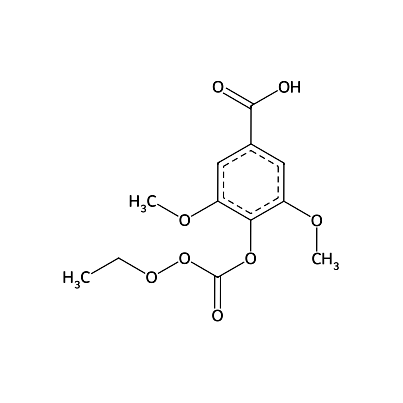 CCOOC(=O)Oc1c(OC)cc(C(=O)O)cc1OC